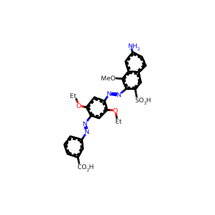 CCOc1cc(N=Nc2c(S(=O)(=O)O)cc3ccc(N)cc3c2OC)c(OCC)cc1N=Nc1cccc(C(=O)O)c1